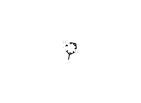 CC(C)c1n[c][nH]n1